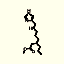 CCCC(CCCNCc1c[nH]cn1)CC(=O)OC